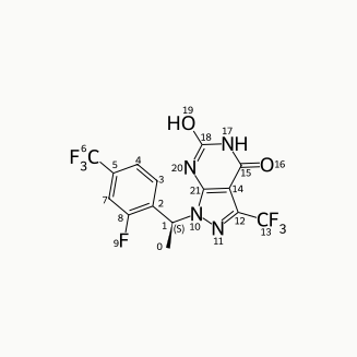 C[C@@H](c1ccc(C(F)(F)F)cc1F)n1nc(C(F)(F)F)c2c(=O)[nH]c(O)nc21